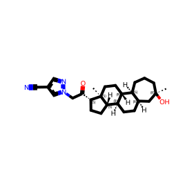 C[C@@]1(O)CCC[C@H]2[C@H](CC[C@@H]3[C@@H]2CC[C@]2(C)[C@@H](C(=O)Cn4cc(C#N)cn4)CC[C@@H]32)C1